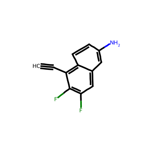 C#Cc1c(F)c(F)cc2cc(N)ccc12